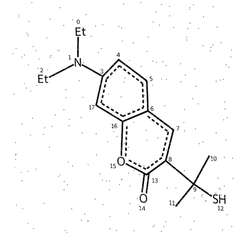 CCN(CC)c1ccc2cc(C(C)(C)S)c(=O)oc2c1